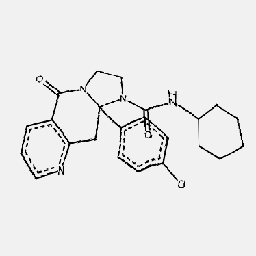 O=C(NC1CCCCC1)N1CCN2C(=O)c3cccnc3CC12c1ccc(Cl)cc1